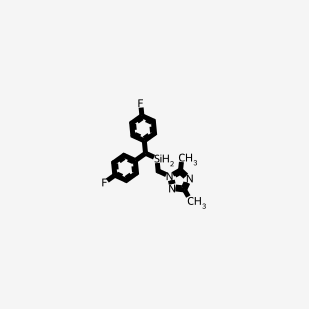 Cc1nc(C)n(C[SiH2]C(c2ccc(F)cc2)c2ccc(F)cc2)n1